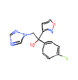 OC(Cn1cncn1)(c1ccc(F)cc1)c1ccon1